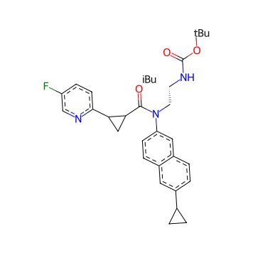 CC[C@H](C)[C@@H](CN(C(=O)C1CC1c1ccc(F)cn1)c1ccc2cc(C3CC3)ccc2c1)NC(=O)OC(C)(C)C